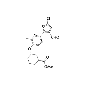 COC(=O)[C@H]1CCC[C@H](Oc2cnc(-c3sc(Cl)cc3C=O)nc2C)C1